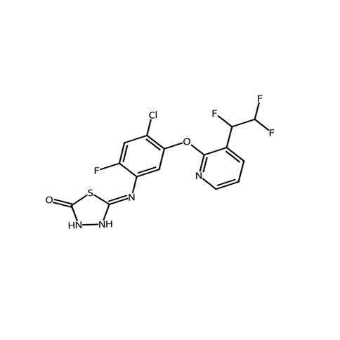 O=c1[nH][nH]c(=Nc2cc(Oc3ncccc3C(F)C(F)F)c(Cl)cc2F)s1